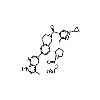 Cc1nn(C2CC2)cc1C(=O)N1CCc2cc(-c3cnc4[nH]cc(C)c4c3)cc([C@@H]3CCCN3C(=O)OC(C)(C)C)c2C1